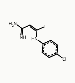 N=C(N)/C=C(/I)Nc1ccc(Cl)cc1